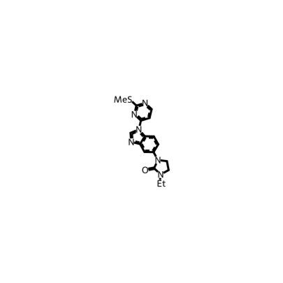 CCN1CCN(c2ccc3c(c2)ncn3-c2ccnc(SC)n2)C1=O